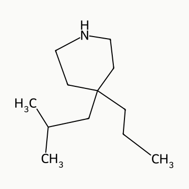 CCCC1(CC(C)C)CCNCC1